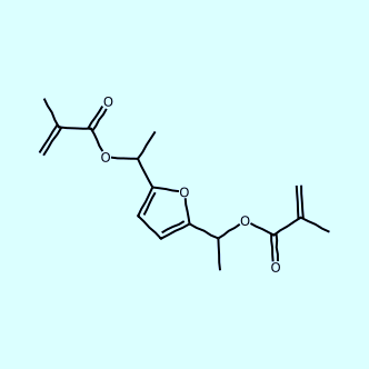 C=C(C)C(=O)OC(C)c1ccc(C(C)OC(=O)C(=C)C)o1